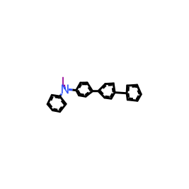 IN(c1ccccc1)c1ccc(-c2ccc(-c3ccccc3)cc2)cc1